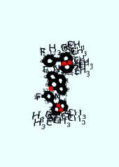 C[Si](C)(C)c1ccc(N(c2c(F)cc(F)cc2-c2cccc([Si](C)(C)C)c2)c2ccc3ccc4c(N(c5ccc([Si](C)(C)C)cc5)c5c(F)cc(F)cc5-c5cccc([Si](C)(C)C)c5)ccc5ccc2c3c54)cc1